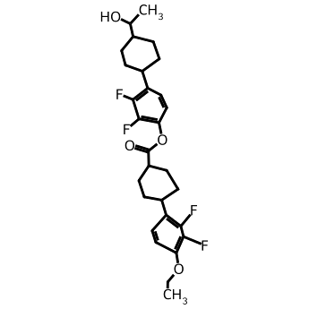 CCOc1ccc(C2CCC(C(=O)Oc3ccc(C4CCC(C(C)O)CC4)c(F)c3F)CC2)c(F)c1F